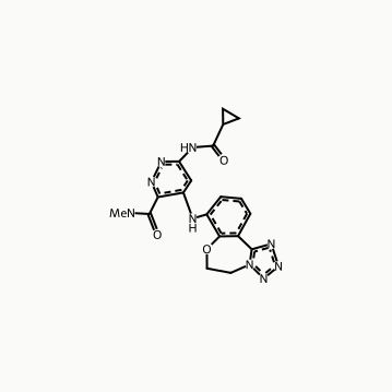 CNC(=O)c1nnc(NC(=O)C2CC2)cc1Nc1cccc2c1OCCn1nnnc1-2